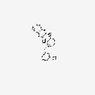 Clc1cccc(CN2CCCC(Sc3cc4ccncc4cc3Cl)C2)c1